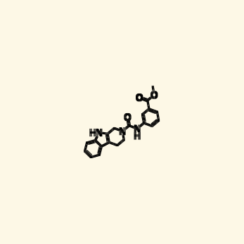 COC(=O)c1cccc(NC(=O)N2CCc3c([nH]c4ccccc34)C2)c1